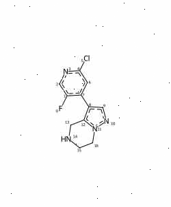 Fc1cnc(Cl)cc1-c1cnn2c1CNCC2